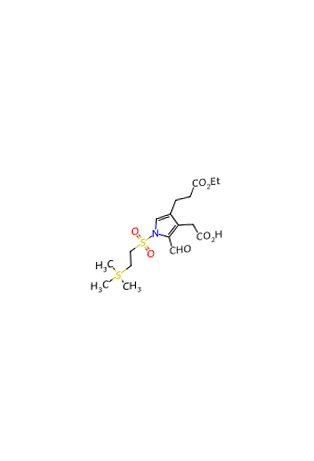 CCOC(=O)CCc1cn(S(=O)(=O)CCS(C)(C)C)c(C=O)c1CC(=O)O